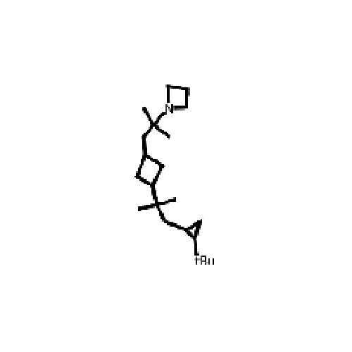 CC(C)(C)C1CC1CC(C)(C)C1CC(CC(C)(C)N2CCC2)C1